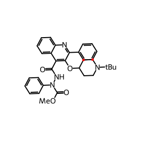 COC(=O)N(NC(=O)c1c(OC2CCN(C(C)(C)C)CC2)c(-c2ccccc2)nc2ccccc12)c1ccccc1